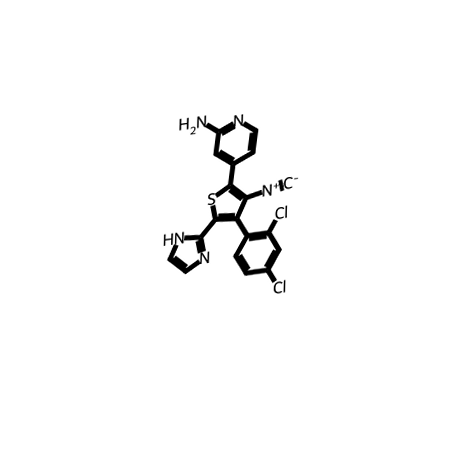 [C-]#[N+]c1c(-c2ccnc(N)c2)sc(-c2ncc[nH]2)c1-c1ccc(Cl)cc1Cl